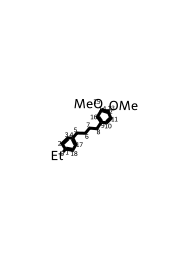 CCc1ccc(CCCCc2ccc(OC)c(OC)c2)cc1